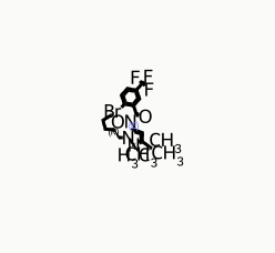 Cn1c(C(C)(C)C)c/c(=N\C(=O)c2cc(C(F)(F)F)ccc2Br)n1C[C@H]1CCCO1